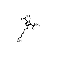 NC(=O)c1cc(CCCCCCO)c(C(N)=O)s1